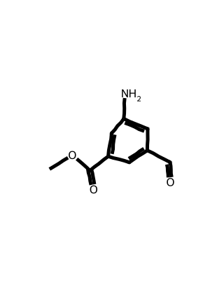 COC(=O)c1cc(N)cc(C=O)c1